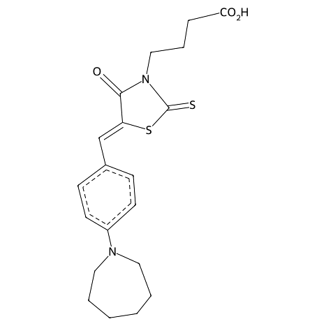 O=C(O)CCCN1C(=O)C(=Cc2ccc(N3CCCCCC3)cc2)SC1=S